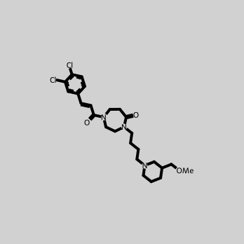 COCC1CCCN(CCCCN2CCN(C(=O)C=Cc3ccc(Cl)c(Cl)c3)CCC2=O)C1